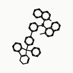 Cc1ccc2ccccc2c1B(c1cccc(-c2ccc(C3(c4ccccc4)C4=C(CCC=C4)c4ccccc43)cc2)c1)c1c(C)ccc2ccccc12